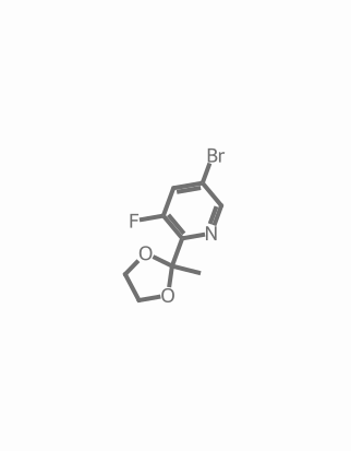 CC1(c2ncc(Br)cc2F)OCCO1